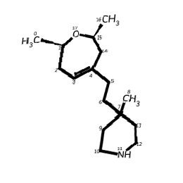 C[C@@H]1CC=C(CCC2(C)CCNCC2)C[C@H](C)O1